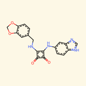 O=c1c(NCc2ccc3c(c2)OCO3)c(Nc2ccc3[nH]cnc3c2)c1=O